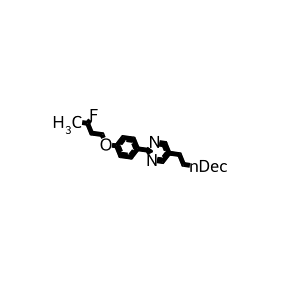 CCCCCCCCCCCCc1cnc(-c2ccc(OCCC(C)F)cc2)nc1